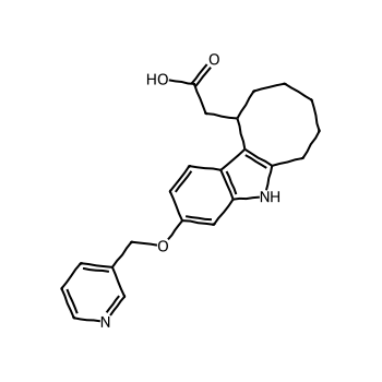 O=C(O)CC1CCCCCc2[nH]c3cc(OCc4cccnc4)ccc3c21